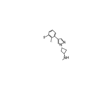 [CH2]c1c(F)cccc1-c1cnn([C@H]2C[C@H](NC)C2)c1